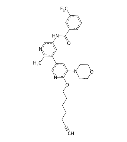 C#CCCCCCOc1ncc(-c2cc(NC(=O)c3cccc(C(F)(F)F)c3)cnc2C)cc1N1CCOCC1